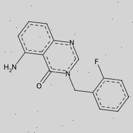 Nc1cccc2ncn(Cc3ccccc3F)c(=O)c12